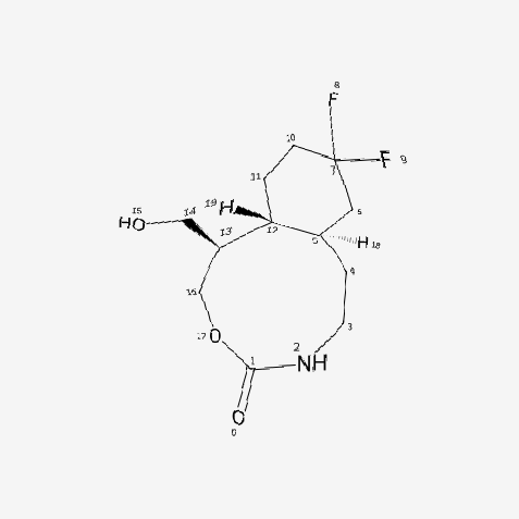 O=C1NCC[C@@H]2CC(F)(F)CC[C@H]2[C@H](CO)CO1